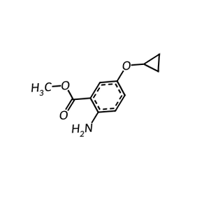 COC(=O)c1cc(OC2CC2)ccc1N